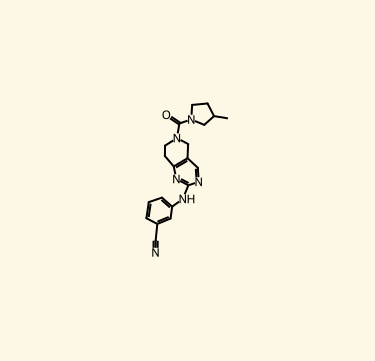 CC1CCN(C(=O)N2CCc3nc(Nc4cccc(C#N)c4)ncc3C2)C1